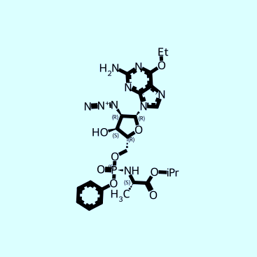 CCOc1nc(N)nc2c1ncn2[C@@H]1O[C@H](CO[P@@](=O)(N[C@@H](C)C(=O)OC(C)C)Oc2ccccc2)[C@@H](O)[C@H]1N=[N+]=[N-]